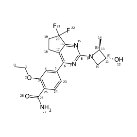 CCOc1cc(-c2nc(N3C[C@@H](O)[C@@H]3C)nc3c2CCC3(F)F)ccc1C(N)=O